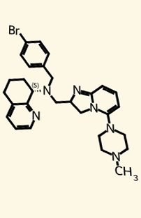 CN1CCN(C2=CC=CC3=NC(CN(Cc4ccc(Br)cc4)[C@H]4CCCc5cccnc54)CN23)CC1